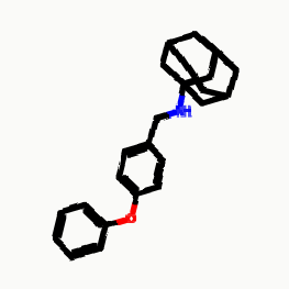 c1ccc(Oc2ccc(CNC34CC5CC(CC(C5)C3)C4)cc2)cc1